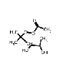 CC(=O)OOC(C)(C)C.CC(O)CO